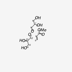 C=CC(=O)OC.OCC(O)COOCC(O)CO